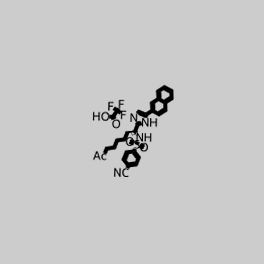 CC(=O)CCCCC[C@H](NS(=O)(=O)c1ccc(C#N)cc1)c1ncc(-c2ccc3ccccc3c2)[nH]1.O=C(O)C(F)(F)F